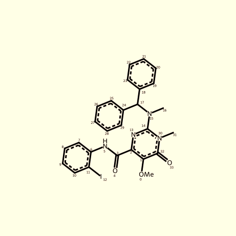 COc1c(C(=O)Nc2ccccc2I)nc(N(C)C(c2ccccc2)c2ccccc2)n(C)c1=O